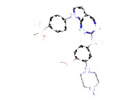 COc1ccc(Nc2ncc3ccn(-c4ccc(S(C)(=O)=O)cc4)c3n2)cc1N1CCN(C)CC1